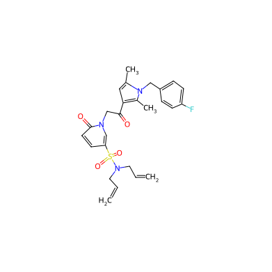 C=CCN(CC=C)S(=O)(=O)c1ccc(=O)n(CC(=O)c2cc(C)n(Cc3ccc(F)cc3)c2C)c1